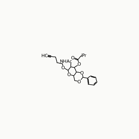 C#CCCCOC1OC2COC(c3ccccc3)OC2C(OC(=O)C(C)C)C1NC(C)=O